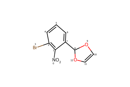 O=[N+]([O-])c1c(Br)cccc1C1OC=CO1